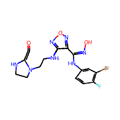 O=C=C1NCCN1CCNc1nonc1C(=NO)Nc1ccc(F)c(Br)c1